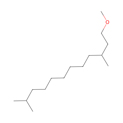 COCCC(C)CCCCCCCC(C)C